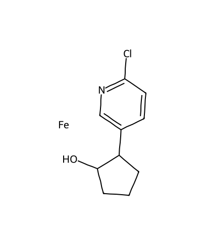 OC1CCCC1c1ccc(Cl)nc1.[Fe]